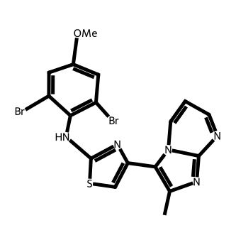 COc1cc(Br)c(Nc2nc(-c3c(C)nc4ncccn34)cs2)c(Br)c1